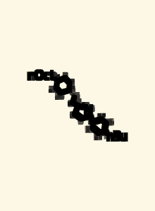 CCCCCCCC[C@H]1CC[C@H](CCc2ccc(-c3ccc(CCCC)cc3)nc2)CC1